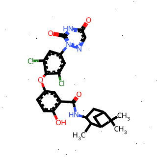 CC1C(NC(=O)c2cc(Oc3c(Cl)cc(-n4ncc(=O)[nH]c4=O)cc3Cl)ccc2O)CC2CC1C2(C)C